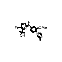 CCc1cnc(Nc2ccc(-n3cnc(C)c3)c(OC)c2)nc1C(C)(C)O